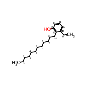 CCCCCCCCCCCCc1c(O)cccc1CC